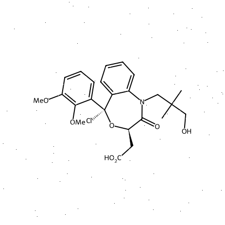 COc1cccc([C@]2(Cl)O[C@H](CC(=O)O)C(=O)N(CC(C)(C)CO)c3ccccc32)c1OC